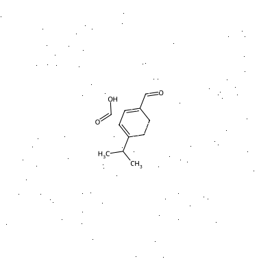 CC(C)C1=CC=C(C=O)CC1.O=CO